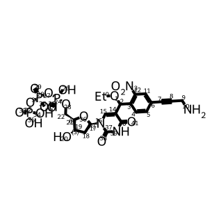 CCOC(c1ccc(C#CCN)cc1[N+](=O)[O-])c1cn([C@H]2C[C@H](O)[C@@H](COP(=O)(O)OP(=O)(O)OP(=O)(O)O)O2)c(=O)[nH]c1=O